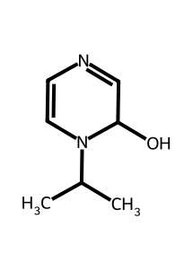 CC(C)N1C=CN=CC1O